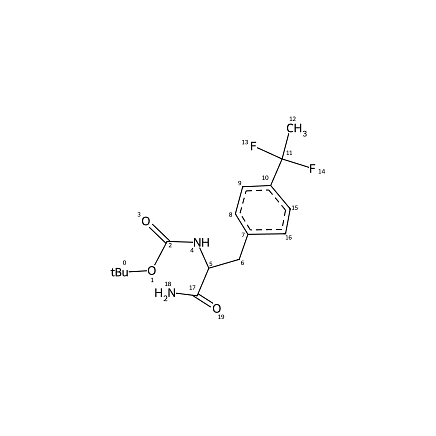 CC(C)(C)OC(=O)NC(Cc1ccc(C(C)(F)F)cc1)C(N)=O